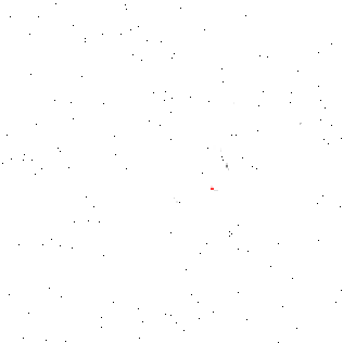 Cc1nc(-c2cccc(-c3ccc(O)cc3)c2)c2c(n1)[C@@]1(c3ccccc3)CC(=CO)C(=O)[C@@H](C)[C@@H]1CC2